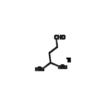 CCCCC(CCC=O)CCCC.[Ti]